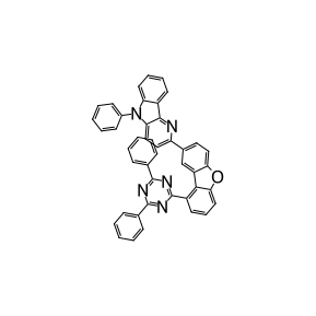 c1ccc(-c2nc(-c3ccccc3)nc(-c3cccc4oc5ccc(-c6ccc7c(n6)c6ccccc6n7-c6ccccc6)cc5c34)n2)cc1